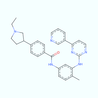 CCN1CCC(c2ccc(C(=O)Nc3ccc(C)c(Nc4nccc(-c5cccnc5)n4)c3)cc2)C1